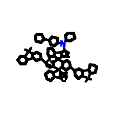 CC1(C)c2ccccc2-c2cc(-c3ccc4c(c3)C3(c5ccccc5-c5ccccc53)c3ccc(-c5ccc6c(c5)-c5ccccc5C6(C)C)cc3C43c4ccccc4-c4c(N(c5ccccc5)c5ccc(-c6ccccc6)cc5)cccc43)ccc21